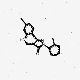 Cc1ccc2c3nn(-c4ccccc4C)c(=O)c-3c[nH]c2c1